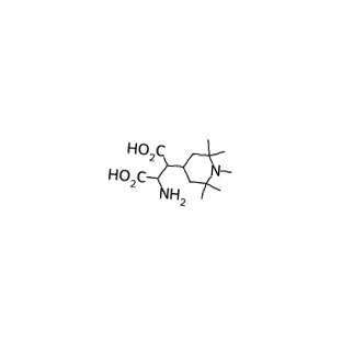 CN1C(C)(C)CC(C(C(=O)O)C(N)C(=O)O)CC1(C)C